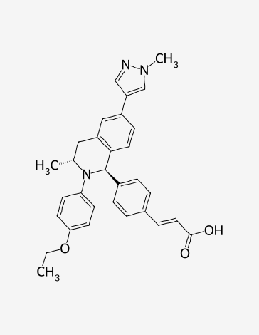 CCOc1ccc(N2[C@H](c3ccc(/C=C/C(=O)O)cc3)c3ccc(-c4cnn(C)c4)cc3C[C@H]2C)cc1